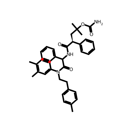 Cc1ccc(CCN(C(=O)C(NC(=O)[C@@H](CC(C)(C)OC(N)=O)c2ccccc2)c2ccccc2)c2ccc(C)c(C)c2)cc1